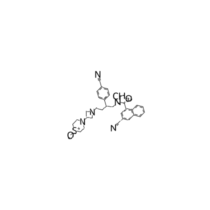 CN(CC(CCN1CC(N2CC[S+]([O-])CC2)C1)c1ccc(C#N)cc1)C(=O)c1cc(C#N)cc2ccccc12